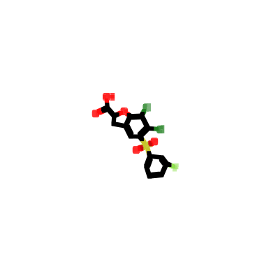 O=C(O)C1Cc2cc(S(=O)(=O)c3cccc(F)c3)c(Cl)c(Cl)c2O1